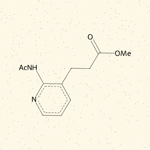 COC(=O)CCc1cccnc1NC(C)=O